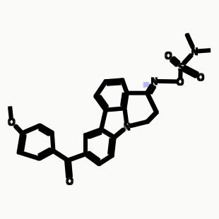 COc1ccc(C(=O)c2ccc3c(c2)c2cccc4c2n3CC/C4=N\OS(=O)(=O)N(C)C)cc1